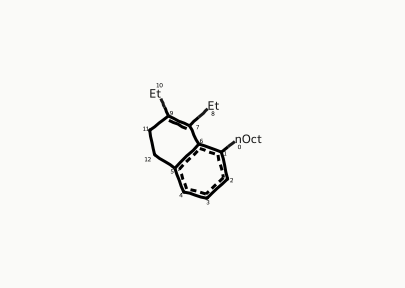 CCCCCCCCc1cccc2c1C(CC)=C(CC)CC2